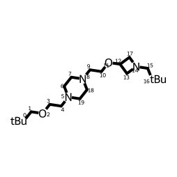 CC(C)(C)COCCN1CCN(CCOC2CN(CC(C)(C)C)C2)CC1